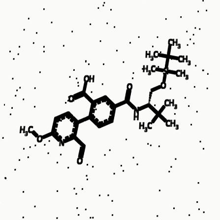 COc1ccc(-c2ccc(C(=O)N[C@H](CO[Si](C)(C)C(C)(C)C)C(C)(C)C)cc2C(=O)O)c(C=O)n1